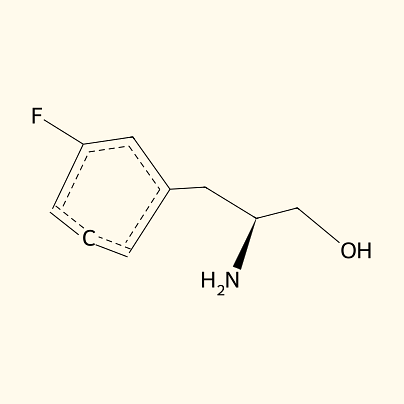 N[C@H](CO)Cc1cccc(F)c1